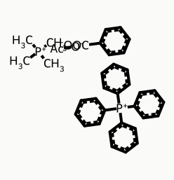 CC(=O)[O-].C[P+](C)(C)C.O=C([O-])c1ccccc1.c1ccc([P+](c2ccccc2)(c2ccccc2)c2ccccc2)cc1